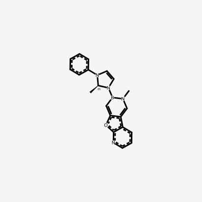 C[C@@H]1N(B2C=c3oc4ncccc4c3=CN2C)C=CN1c1ccccc1